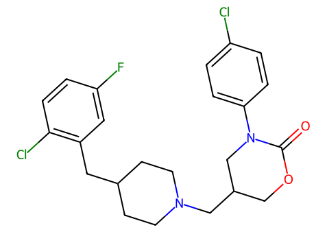 O=C1OCC(CN2CCC(Cc3cc(F)ccc3Cl)CC2)CN1c1ccc(Cl)cc1